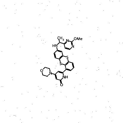 COc1nccc(C(C)Nc2ccc3c(c2)Sc2cccc(-c4cc(N5CCOCC5)cc(=O)[nH]4)c2S3)n1